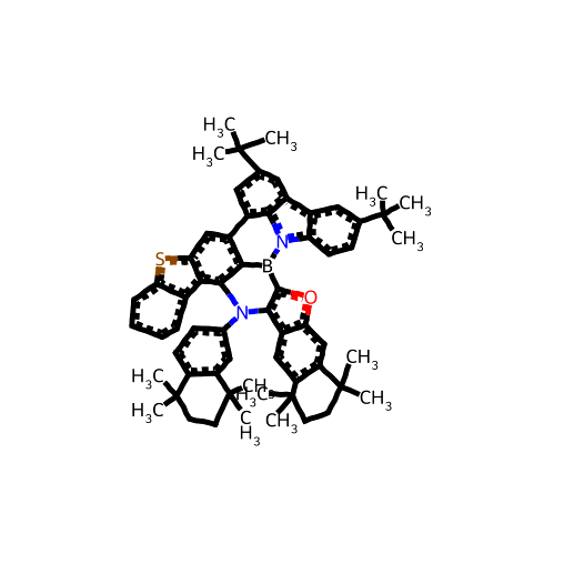 CC(C)(C)c1ccc2c(c1)c1cc(C(C)(C)C)cc3c1n2B1c2oc4cc5c(cc4c2N(c2ccc4c(c2)C(C)(C)CCC4(C)C)c2c1c-3cc1sc3ccccc3c21)C(C)(C)CCC5(C)C